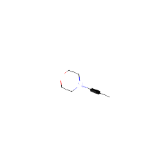 CC#CN1CCOCC1